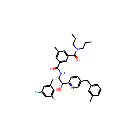 CCCN(CCC)C(=O)c1cc(C)cc(C(=O)N[C@@H](Cc2cc(F)cc(F)c2)C(O)c2ccc(Cc3cccc(C)c3)cn2)c1